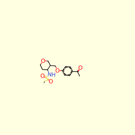 CC(=O)c1ccc(OCC2COCCC2NS(C)(=O)=O)cc1